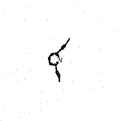 CC#Cc1cccc(C#CC)n1